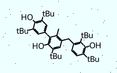 Cc1c(Cc2ccc(C(C)(C)C)c(O)c2C(C)(C)C)cc(C(C)(C)C)c(O)c1-c1cc(C(C)(C)C)c(O)c(C(C)(C)C)c1